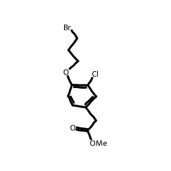 COC(=O)Cc1ccc(OCCCBr)c(Cl)c1